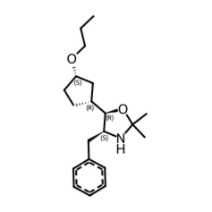 CCCO[C@H]1CC[C@@H]([C@H]2OC(C)(C)N[C@H]2Cc2ccccc2)C1